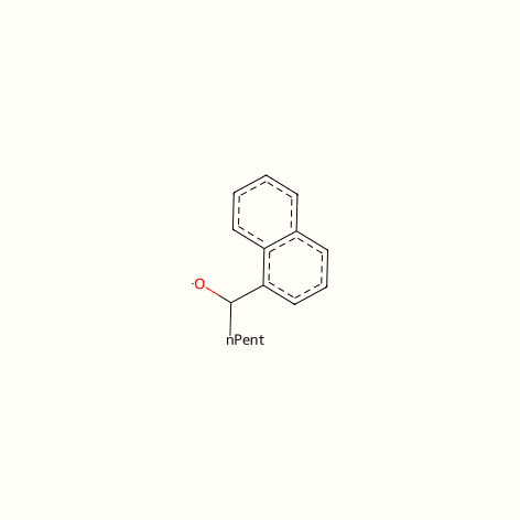 CCCCCC([O])c1cccc2ccccc12